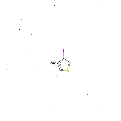 Ic1ccsc1.[MgH2]